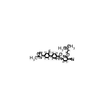 Cc1nc(-c2ccc(-c3ccc(C(=O)Nc4ccc(C#N)c(OCCN(C)C)n4)cc3)c(F)c2)no1